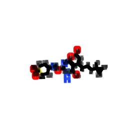 CC1(CCCc2cc(=O)oc3nc(ON=C4CCS(=O)(=O)CC4)[nH]c(=O)c23)CC1